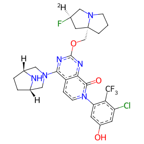 [2H][C@]1(F)CN2CCC[C@@]2(COc2nc(N3C[C@H]4CC[C@@H](C3)N4)c3ccn(-c4cc(O)cc(Cl)c4C(F)(F)F)c(=O)c3n2)C1